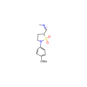 C/N=C\C1CCN(c2ccc(OC)cc2)S1(=O)=O